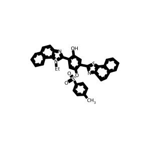 CCn1c(-c2cc(OS(=O)(=O)c3ccc(C)cc3)c(-c3nc4ccc5ccccc5c4s3)cc2O)nc2ccc3ccccc3c21